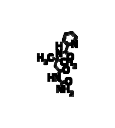 CC(C)(CC(=O)NC(N)=O)NC(=O)c1ccccn1